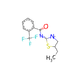 CCC1C[N]C(=NC(=O)c2ccccc2C(F)(F)F)S1